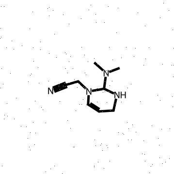 CN(C)C1NCC=CN1CC#N